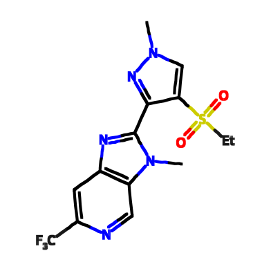 CCS(=O)(=O)c1cn(C)nc1-c1nc2cc(C(F)(F)F)ncc2n1C